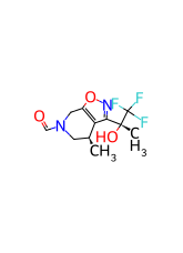 C[C@H]1CN(C=O)Cc2onc([C@@](C)(O)C(F)(F)F)c21